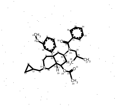 COc1cccc([C@@]23CCN(CC4CC4)C[C@H]2C(OC(C)=O)C[C@H](N(CC(C)C)C(=O)c2ccccc2)C3)c1